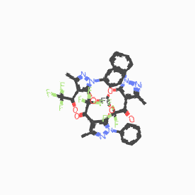 Cc1nn(-c2ccccc2)c([O][Fe]([O]c2c(C(=O)C(F)(F)F)c(C)nn2-c2ccccc2)[O]c2c(C(=O)C(F)(F)F)c(C)nn2-c2ccccc2)c1C(=O)C(F)(F)F